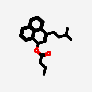 CCCC(=O)OC1C=C(CCC(C)C)c2cccc3cccc1c23